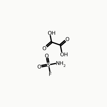 NS(=O)(=O)F.O=C(O)C(=O)O